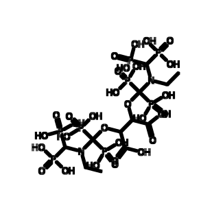 CCN(C(P(=O)(O)O)P(=O)(O)O)C(OC(C(=O)O)C(OC(N(CC)C(P(=O)(O)O)P(=O)(O)O)(P(=O)(O)O)P(=O)(O)O)C(=O)O)(P(=O)(O)O)P(=O)(O)O